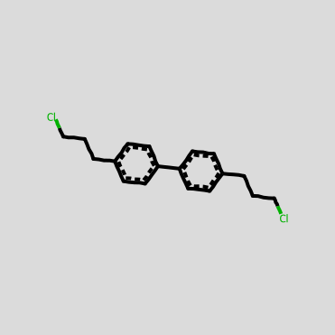 ClCCCc1ccc(-c2ccc(CCCCl)cc2)cc1